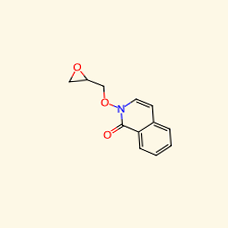 O=c1c2ccccc2ccn1OCC1CO1